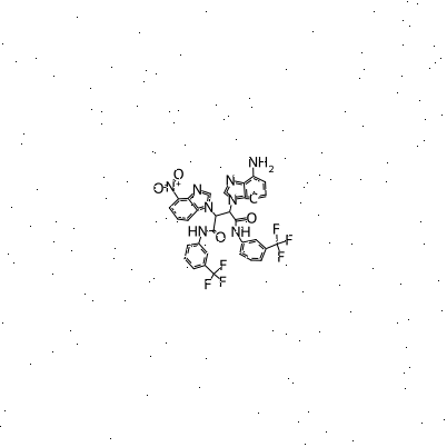 Nc1cccc2c1ncn2C(C(=O)Nc1cccc(C(F)(F)F)c1)C(C(=O)Nc1cccc(C(F)(F)F)c1)n1cnc2c([N+](=O)[O-])cccc21